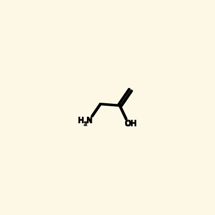 C=C(O)CN